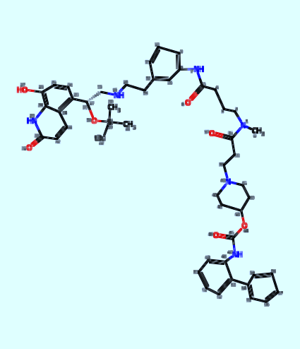 CN(CCCC(=O)Nc1cccc(CCNC[C@H](O[Si](C)(C)C(C)(C)C)c2ccc(O)c3[nH]c(=O)ccc23)c1)C(=O)CCN1CCC(OC(=O)Nc2ccccc2-c2ccccc2)CC1